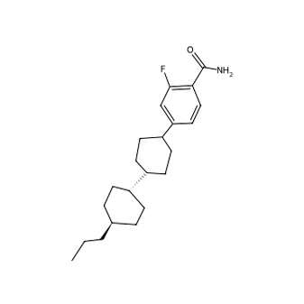 CCC[C@H]1CC[C@H](C2CCC(c3ccc(C(N)=O)c(F)c3)CC2)CC1